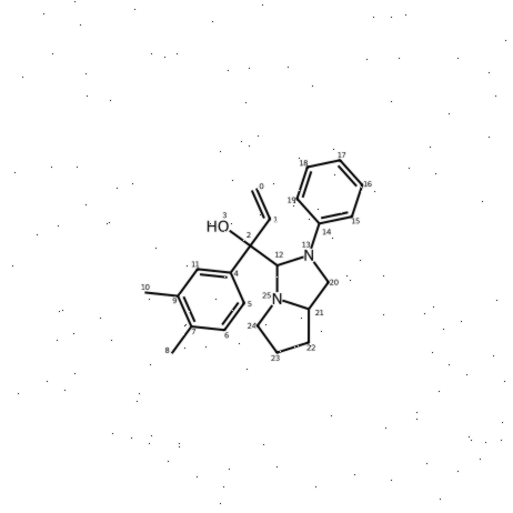 C=CC(O)(c1ccc(C)c(C)c1)C1N(c2ccccc2)CC2CCCN21